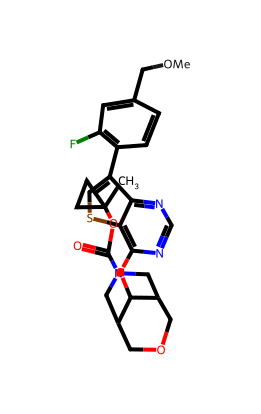 COCc1ccc(-c2csc3c(OC4C5COCC4CN(C(=O)OC4(C)CC4)C5)ncnc23)c(F)c1